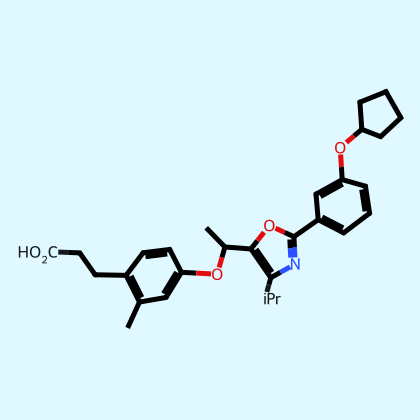 Cc1cc(OC(C)c2oc(-c3cccc(OC4CCCC4)c3)nc2C(C)C)ccc1CCC(=O)O